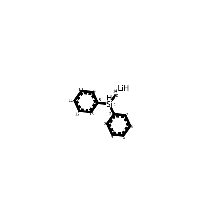 C[SiH](c1ccccc1)c1ccccc1.[LiH]